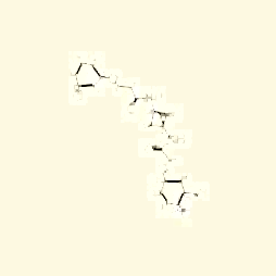 O=C(CCOc1cccc(Cl)c1)NC12CC(NC(=O)COc3ccc(Cl)c(Cl)c3)(C1)C2